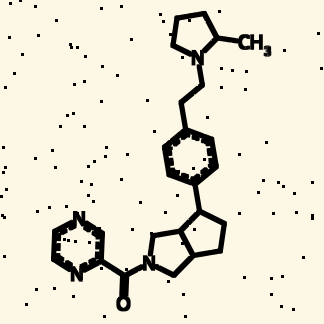 CC1CCCN1CCc1ccc(C2CCC3CN(C(=O)c4cnccn4)CC32)cc1